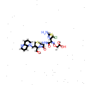 C[C@H](O/N=C(\C(=O)NC1C(=O)N2C(C=O)=C(C[n+]3cccc4ncccc43)CSC12)c1nc(N)sc1Cl)C(=O)O